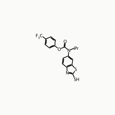 CC(C)N(C(=O)Oc1ccc(C(F)(F)F)cc1)c1ccc2nc(S)sc2c1